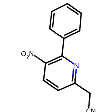 N#CCc1ccc([N+](=O)[O-])c(-c2ccccc2)n1